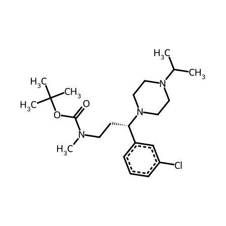 CC(C)N1CCN([C@@H](CCN(C)C(=O)OC(C)(C)C)c2cccc(Cl)c2)CC1